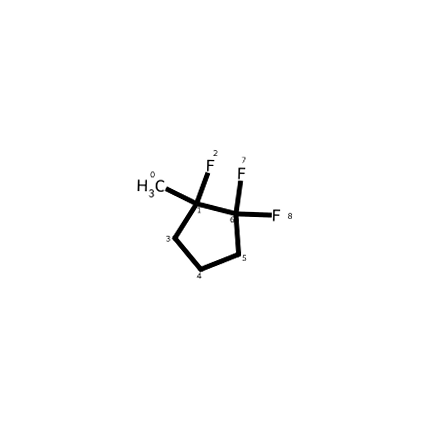 CC1(F)CCCC1(F)F